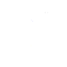 CC(C)c1ccc([SH](=O)=O)cn1